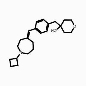 OC1(Cc2ccc(C=C3CCCN(C4CCC4)CC3)cc2)CCOCC1